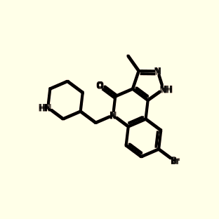 Cc1n[nH]c2c1c(=O)n(CC1CCCNC1)c1ccc(Br)cc21